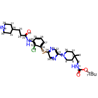 CC1(CNC(=O)OC(C)(C)C)CCN(c2cnc(Sc3cccc(NC(=O)CCC4CCNCC4)c3Cl)cn2)CC1